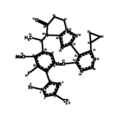 CCn1cc(C(F)(F)F)nc1-c1ccc(C(C)N2C(=O)CCn3nc(-c4c(OC)ncnc4C4CC4)nc32)c(OC)c1F